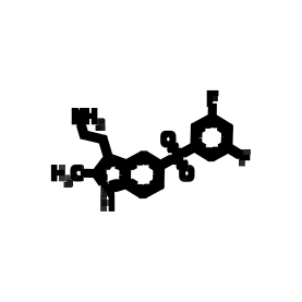 Cc1[nH]c2ccc(S(=O)(=O)c3cc(F)cc(F)c3)cc2c1CCN